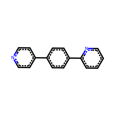 c1ccc(-c2ccc(-c3ccncc3)cc2)nc1